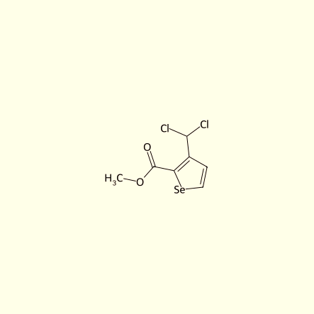 COC(=O)c1[se]ccc1C(Cl)Cl